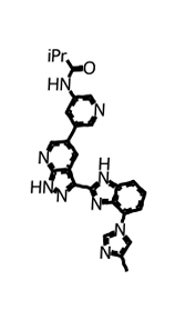 Cc1cn(-c2cccc3[nH]c(-c4n[nH]c5ncc(-c6cncc(NC(=O)C(C)C)c6)cc45)nc23)cn1